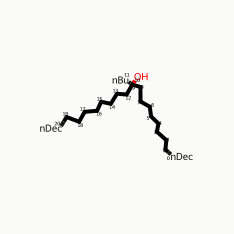 CCCCCCCCCCCCCCCCCCC(O)(CCCC)CCCCCCCCCCCCCCCCCC